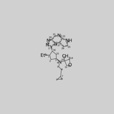 CC[C@@H]1C[C@H](N(CCC2CC2)C2(C)COC2)C[C@@H]1c1nnc2cnc3[nH]ccc3n12